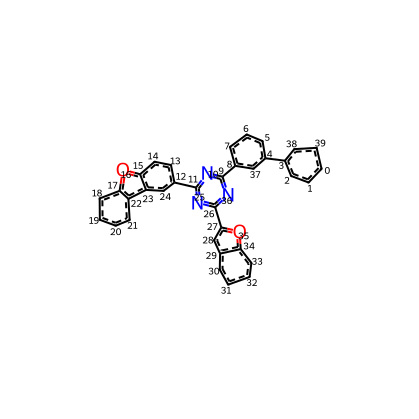 c1ccc(-c2cccc(-c3nc(-c4ccc5oc6ccccc6c5c4)nc(-c4cc5ccccc5o4)n3)c2)cc1